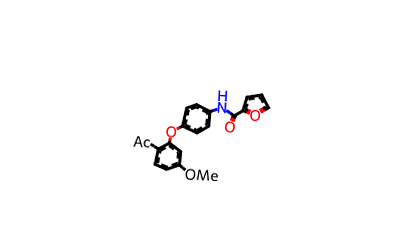 COc1ccc(C(C)=O)c(Oc2ccc(NC(=O)c3ccco3)cc2)c1